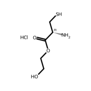 Cl.N[C@@H](CS)C(=O)OCCO